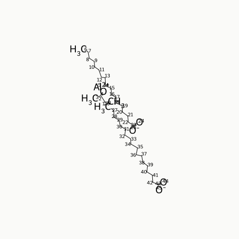 CCC(C)[O][Al+2].CCCCCCCCCCCCCCCCCC(=O)[O-].CCCCCCCCCCCCCCCCCC(=O)[O-]